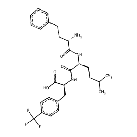 CC(C)CC[C@H](NC(=O)[C@@H](N)CCc1ccccc1)C(=O)N[C@@H](Cc1ccc(C(F)(F)F)cc1)C(=O)O